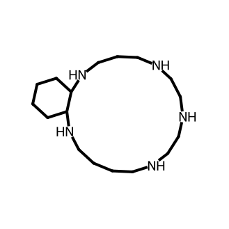 C1CCNC2CCCCC2NCCCNCCNCCNC1